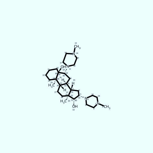 CN1CCN([C@H]2C[C@H]3[C@@H]4C[C@@H](N5CCN(C)CC5)[C@@]5(O)CCCC[C@]5(C)[C@H]4CC[C@]3(C)[C@H]2O)CC1